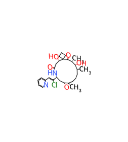 C[C@H]1CCCC2(C)OC2C[C@@H](C(Cl)=Cc2ccccn2)NC(=O)C[C@H](O)C2(CCC2)C(=O)[C@H](C)[C@H]1O